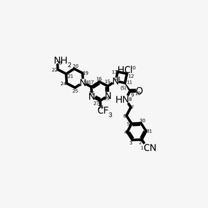 Cl.N#Cc1ccc(CCNC(=O)[C@@H]2CCN2c2cc(N3CCC(CN)CC3)nc(C(F)(F)F)n2)cc1